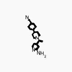 C=C(c1ccnc(N)c1)N1CCC(c2ccc(C#N)cc2)CC1